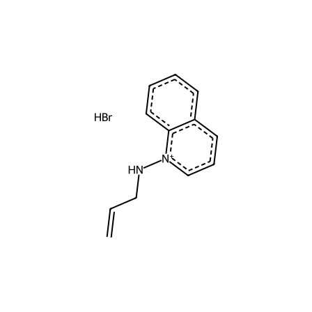 Br.C=CCN[n+]1cccc2ccccc21